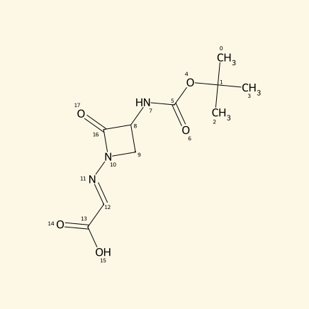 CC(C)(C)OC(=O)NC1CN(/N=C/C(=O)O)C1=O